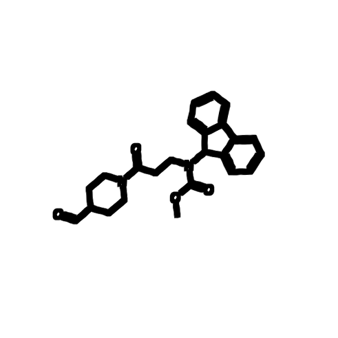 COC(=O)N(CCC(=O)N1CCC(C=O)CC1)C1c2ccccc2-c2ccccc21